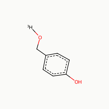 [3H]OCc1ccc(O)cc1